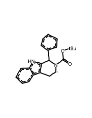 CC(C)(C)OC(=O)N1[C]Cc2c([nH]c3ccccc23)C1c1ccccc1